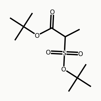 CC(C(=O)OC(C)(C)C)S(=O)(=O)OC(C)(C)C